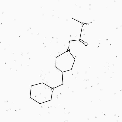 CN(C)C(=O)CN1CCC(CN2CCCCC2)CC1